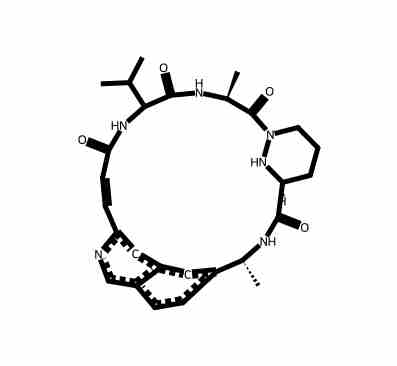 CC(C)C1NC(=O)/C=C\c2cc3cc(ccc3cn2)[C@@H](C)NC(=O)[C@@H]2CCCN(N2)C(=O)[C@H](C)NC1=O